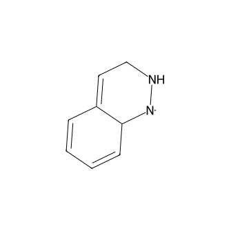 C1=CC2=CCN[N]C2C=C1